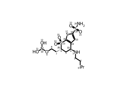 CC(C)CCN[C@H]1C[C@H](CCON(O)O)S(=O)(=O)c2sc(S(N)(=O)=O)cc21